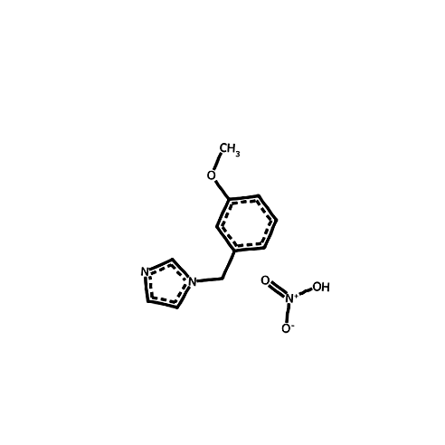 COc1cccc(Cn2ccnc2)c1.O=[N+]([O-])O